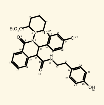 CCOC(=O)C1CCCCN1N1C(=O)c2ccccc2C(C(=O)NCCc2ccc(O)cc2)C1c1ccc(Cl)cc1Cl